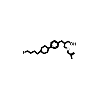 C=C(C)COCC(CO)Cc1ccc(C2CCC(CCCCF)CC2)cc1